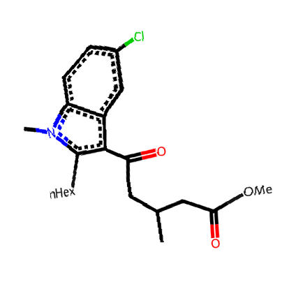 CCCCCCc1c(C(=O)CC(C)CC(=O)OC)c2cc(Cl)ccc2n1C